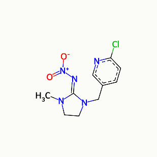 CN1CCN(Cc2ccc(Cl)nc2)/C1=N/[N+](=O)[O-]